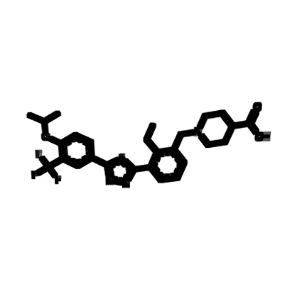 CCc1c(CN2CCC(C(=O)O)CC2)cccc1-c1nnc(-c2ccc(OC(C)C)c(C(F)(F)F)c2)s1